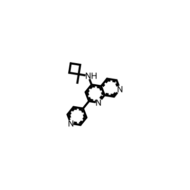 CC1(Nc2cc(-c3ccncc3)nc3cnccc23)CCC1